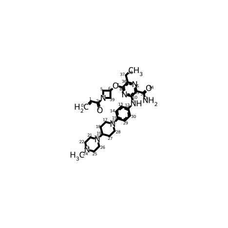 C=CC(=O)N1CC(Oc2nc(Nc3ccc(N4CCC(N5CCN(C)CC5)CC4)cc3)c(C(N)=O)nc2CC)C1